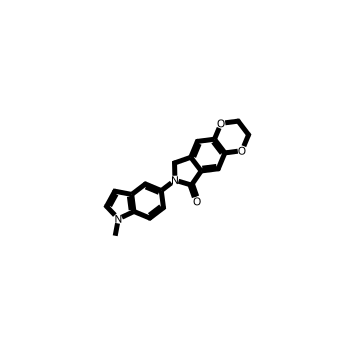 Cn1ccc2cc(N3Cc4cc5c(cc4C3=O)OCCO5)ccc21